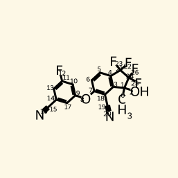 CC1(O)c2c(ccc(Oc3cc(F)cc(C#N)c3)c2C#N)C(F)(F)C1(F)F